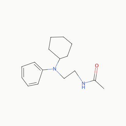 CC(=O)NCCN(c1ccccc1)C1CCCCC1